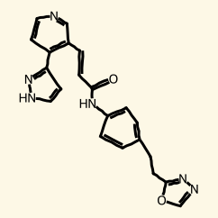 O=C(C=Cc1cnccc1-c1cc[nH]n1)Nc1ccc(CCc2nnco2)cc1